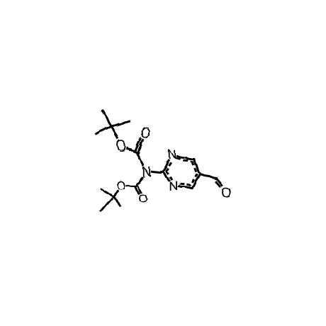 CC(C)(C)OC(=O)N(C(=O)OC(C)(C)C)c1ncc(C=O)cn1